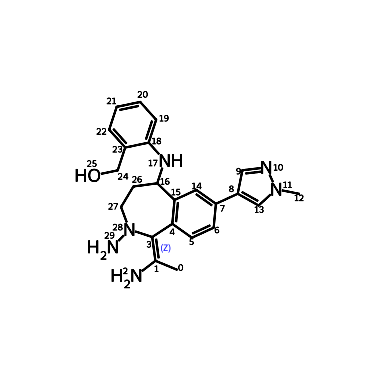 C/C(N)=C1\c2ccc(-c3cnn(C)c3)cc2C(Nc2ccccc2CO)CCN1N